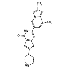 Cc1cn2nc(-c3nc4sc(C5CCNCC5)cc4c(=O)[nH]3)cc(C)c2n1